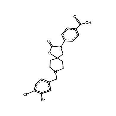 O=C(O)c1ccc(N2CC3(CCN(Cc4ccc(Cl)c(Br)c4)CC3)OC2=O)cc1